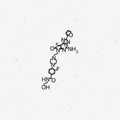 Nc1nc2c(sc(=O)n2CCN2CCN(c3ccc(C(=O)NCCO)cc3F)CC2)c2nc(-c3ccco3)nn12